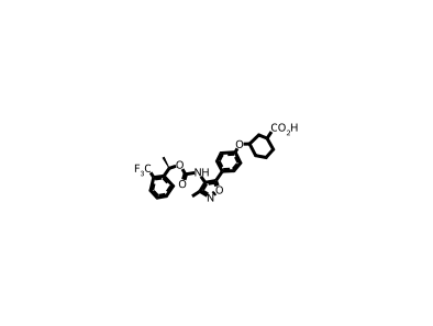 Cc1noc(-c2ccc(OC3CCCC(C(=O)O)C3)cc2)c1NC(=O)O[C@H](C)c1ccccc1C(F)(F)F